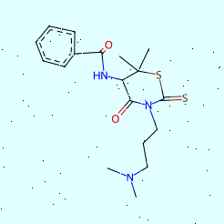 CN(C)CCCN1C(=O)C(NC(=O)c2ccccc2)C(C)(C)SC1=S